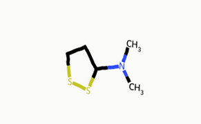 CN(C)C1CCSS1